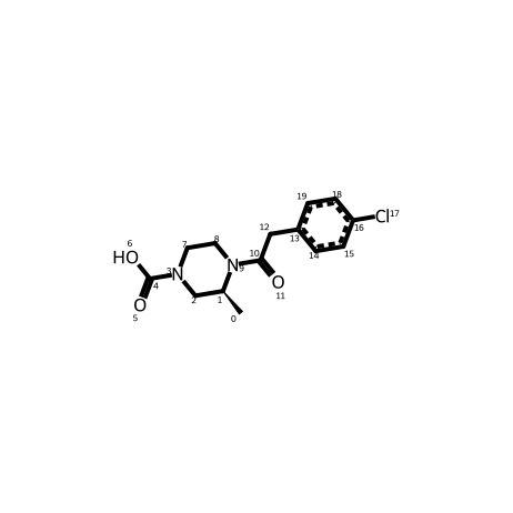 C[C@H]1CN(C(=O)O)CCN1C(=O)Cc1ccc(Cl)cc1